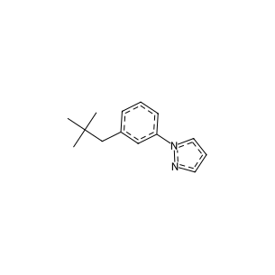 CC(C)(C)Cc1cccc(-n2cccn2)c1